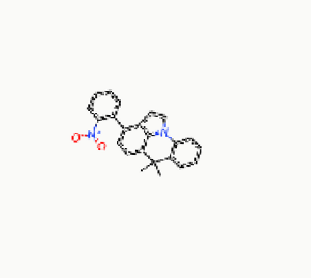 CC1(C)c2ccccc2-n2ccc3c(-c4ccccc4[N+](=O)[O-])ccc1c32